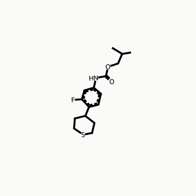 CC(C)COC(=O)Nc1ccc(C2CCSCC2)c(F)c1